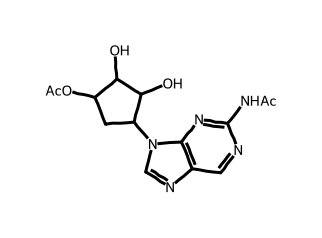 CC(=O)Nc1ncc2ncn(C3CC(OC(C)=O)C(O)C3O)c2n1